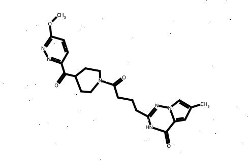 COc1ccc(C(=O)C2CCN(C(=O)CCCc3nn4cc(C)cc4c(=O)[nH]3)CC2)nn1